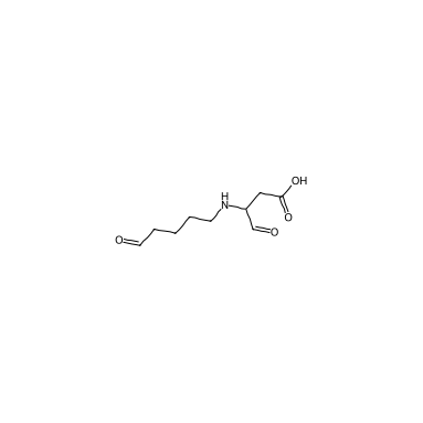 O=CCCCCNC(C=O)CC(=O)O